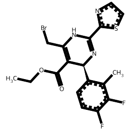 CCOC(=O)C1=C(CBr)NC(c2nccs2)=N[C@H]1c1ccc(F)c(F)c1C